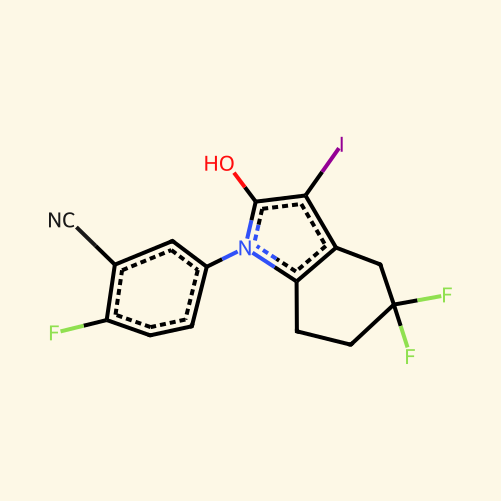 N#Cc1cc(-n2c(O)c(I)c3c2CCC(F)(F)C3)ccc1F